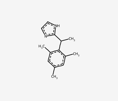 Cc1cc(C)c(C(C)c2ncc[nH]2)c(C)c1